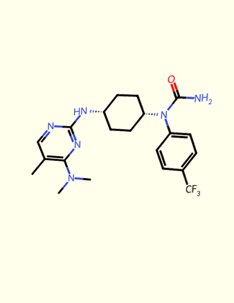 Cc1cnc(N[C@H]2CC[C@@H](N(C(N)=O)c3ccc(C(F)(F)F)cc3)CC2)nc1N(C)C